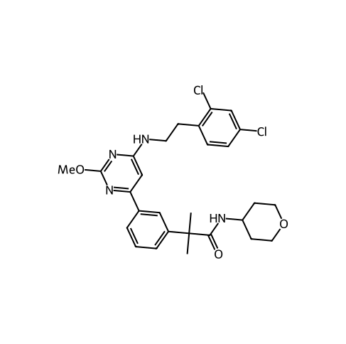 COc1nc(NCCc2ccc(Cl)cc2Cl)cc(-c2cccc(C(C)(C)C(=O)NC3CCOCC3)c2)n1